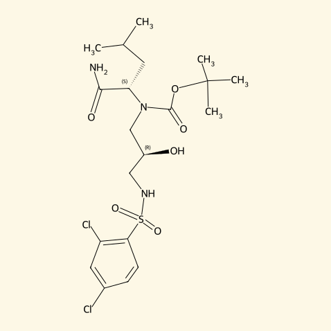 CC(C)C[C@@H](C(N)=O)N(C[C@@H](O)CNS(=O)(=O)c1ccc(Cl)cc1Cl)C(=O)OC(C)(C)C